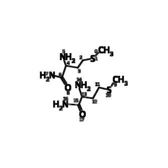 CSCCC(N)C(N)=O.CSCCC(N)C(N)=O